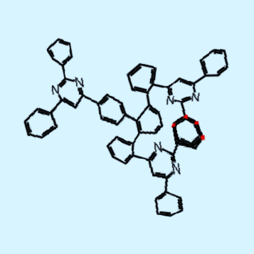 c1ccc(-c2cc(-c3ccc(-c4c(-c5ccccc5-c5cc(-c6ccccc6)nc(-c6ccccc6)n5)cccc4-c4ccccc4-c4cc(-c5ccccc5)nc(-c5ccccc5)n4)cc3)nc(-c3ccccc3)n2)cc1